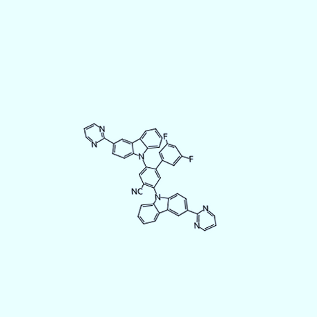 N#Cc1cc(-n2c3ccccc3c3cc(-c4ncccn4)ccc32)c(-c2cc(F)cc(F)c2)cc1-n1c2ccccc2c2cc(-c3ncccn3)ccc21